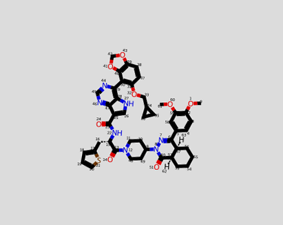 COc1ccc(C2=NN(C3CCN(C(=O)[C@H](Cc4cccs4)NC(=O)c4c[nH]c5c(-c6c(OCC7CC7)ccc7c6OCO7)ncnc45)CC3)C(=O)[C@@H]3CCCC[C@H]23)cc1OC